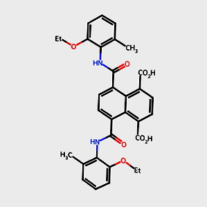 CCOc1cccc(C)c1NC(=O)c1ccc(C(=O)Nc2c(C)cccc2OCC)c2c(C(=O)O)ccc(C(=O)O)c12